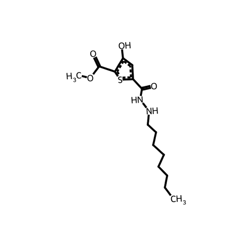 CCCCCCCCNNC(=O)c1cc(O)c(C(=O)OC)s1